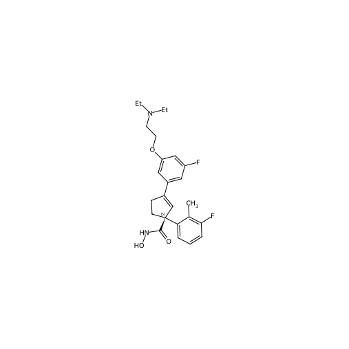 CCN(CC)CCOc1cc(F)cc(C2=C[C@](C(=O)NO)(c3cccc(F)c3C)CC2)c1